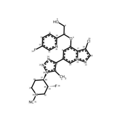 Cc1c(-c2cc(OC(CO)c3ccc(F)cn3)c3c(Cl)cnn3c2)nnn1[C@@H]1CCN(C#N)C[C@H]1F